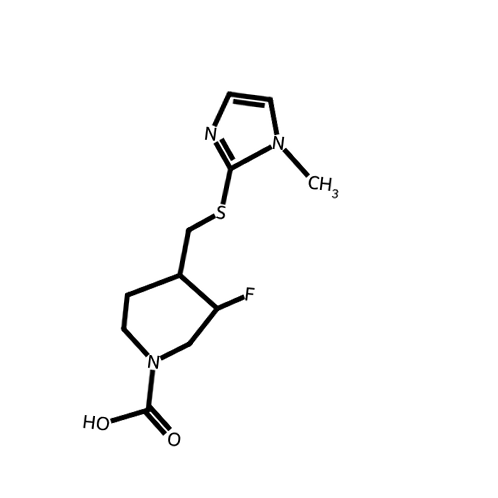 Cn1ccnc1SCC1CCN(C(=O)O)CC1F